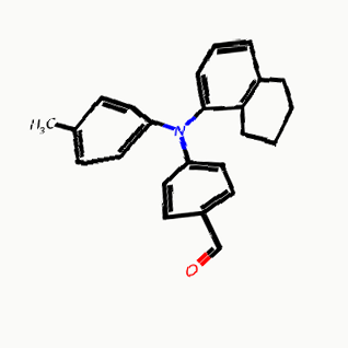 Cc1ccc(N(c2ccc(C=O)cc2)c2cccc3c2CCCC3)cc1